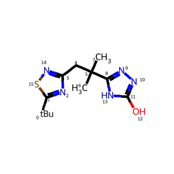 CC(C)(C)c1nc(CC(C)(C)c2nnc(O)[nH]2)ns1